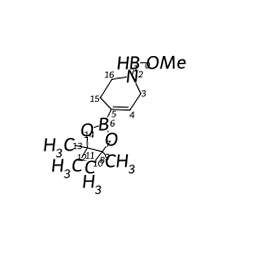 COBN1CC=C(B2OC(C)(C)C(C)(C)O2)CC1